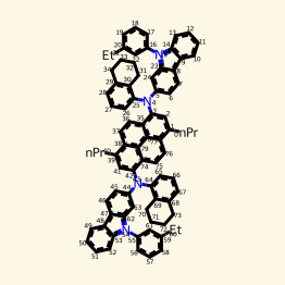 CCCc1cc(N(c2ccc3c4ccccc4n(-c4cccc(CC)c4)c3c2)c2cccc3c2CCCC3)c2ccc3c(CCC)cc(N(c4ccc5c6ccccc6n(-c6cccc(CC)c6)c5c4)c4cccc5c4CCCC5)c4ccc1c2c34